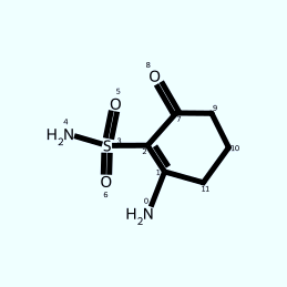 NC1=C(S(N)(=O)=O)C(=O)CCC1